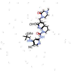 CSC(C)(C)CNc1cc(NC(=O)N2CCCc3cc(CN4CCN(C)CC4=O)c(C=O)nc32)ncc1C#N